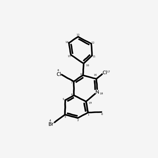 Cc1cc(Br)cc2c(Cl)c(-c3ccccc3)c(Cl)nc12